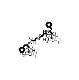 CC(C)(C)OC(=O)[C@@H](CNC(=O)CCSSCCC(=O)N[C@@H](Cc1ccccc1)C(=O)OC(C)(C)C)Cc1ccccc1